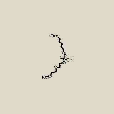 CCCCCCCCCCCCCCCOOP(=O)(O)OCCOCCOCC